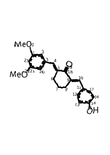 COc1cc(C=C2CCCC(=Cc3ccc(O)cc3)C2=O)cc(OC)c1